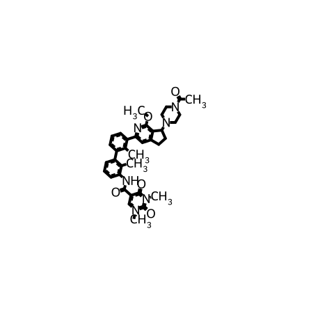 COc1nc(-c2cccc(-c3cccc(NC(=O)c4cn(C)c(=O)n(C)c4=O)c3C)c2C)cc2c1C(N1CCN(C(C)=O)CC1)CC2